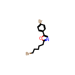 BrCCCCCc1ncc(-c2ccc(Br)cc2)o1